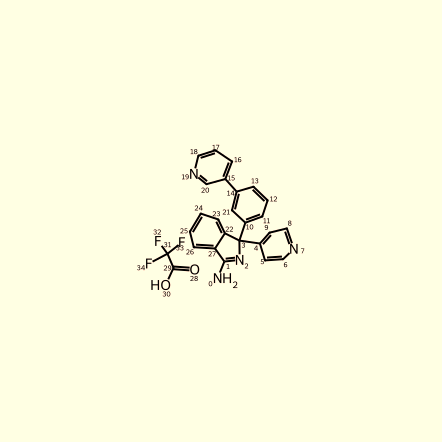 NC1=NC(c2ccncc2)(c2cccc(-c3cccnc3)c2)c2ccccc21.O=C(O)C(F)(F)F